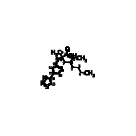 CCCCC(CC)CC(C)(Sc1cc(-c2csnn2)cs1)C(=O)O